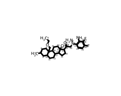 CCOCC12CCC(C)CC1CCC1C3CCC(C(=O)CN(N)c4ccc(F)c(F)c4N)C3(C)CCC12